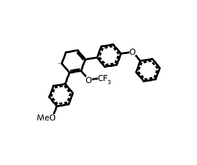 COc1ccc(C2=C(OC(F)(F)F)C(c3ccc(Oc4ccccc4)cc3)=CC[CH]2)cc1